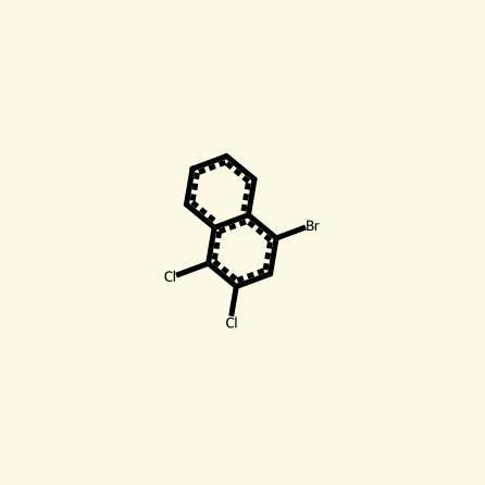 Clc1cc(Br)c2ccccc2c1Cl